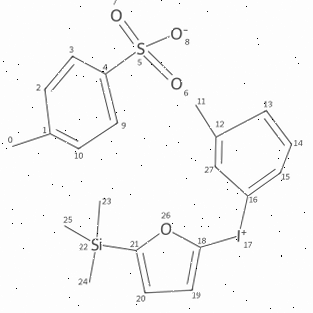 Cc1ccc(S(=O)(=O)[O-])cc1.Cc1cccc([I+]c2ccc([Si](C)(C)C)o2)c1